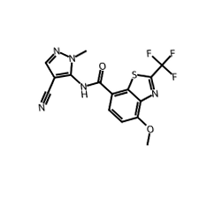 COc1ccc(C(=O)Nc2c(C#N)cnn2C)c2sc(C(F)(F)F)nc12